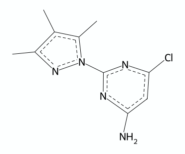 Cc1nn(-c2nc(N)cc(Cl)n2)c(C)c1C